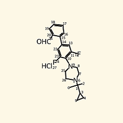 CC(C)(C1CC1)N1CCN(c2c(F)cc(-c3ccccc3C=O)cc2F)CC1.Cl